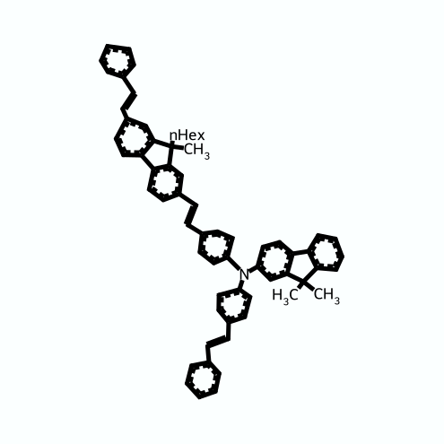 CCCCCCC1(C)c2cc(C=Cc3ccccc3)ccc2-c2ccc(C=Cc3ccc(N(c4ccc(C=Cc5ccccc5)cc4)c4ccc5c(c4)C(C)(C)c4ccccc4-5)cc3)cc21